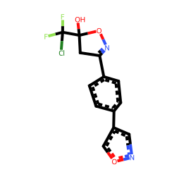 OC1(C(F)(F)Cl)CC(c2ccc(-c3cnoc3)cc2)=NO1